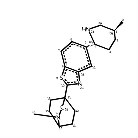 C[C@H]1CC[C@H](c2ccc3sc(C45CCC(CC4)N(C)C5)nc3c2)NC1